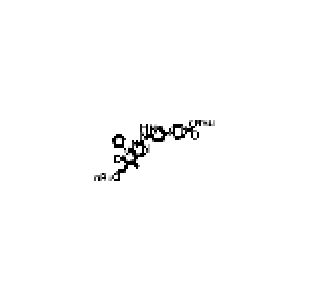 CCCCOC=Cc1c(C)c2cnc(Nc3ccc(N4CCN(C(=O)OC(C)(C)C)CC4)cn3)nc2n(C2CCCC2)c1=O